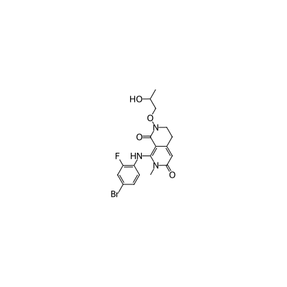 CC(O)CON1CCc2cc(=O)n(C)c(Nc3ccc(Br)cc3F)c2C1=O